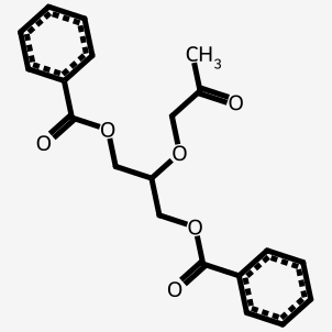 CC(=O)COC(COC(=O)c1ccccc1)COC(=O)c1ccccc1